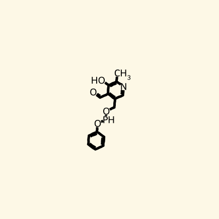 Cc1ncc(COPOc2ccccc2)c(C=O)c1O